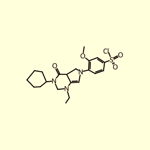 CCN1CN(C2CCCCC2)C(=O)C2CN(c3ccc(S(=O)(=O)Cl)cc3OC)C=C21